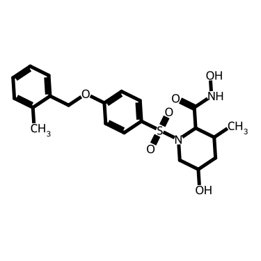 Cc1ccccc1COc1ccc(S(=O)(=O)N2CC(O)CC(C)C2C(=O)NO)cc1